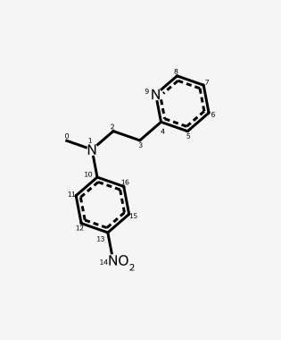 CN(CCc1ccccn1)c1ccc([N+](=O)[O-])cc1